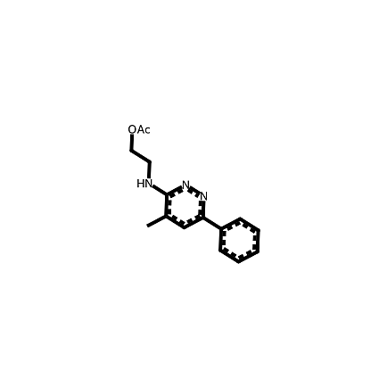 CC(=O)OCCNc1nnc(-c2ccccc2)cc1C